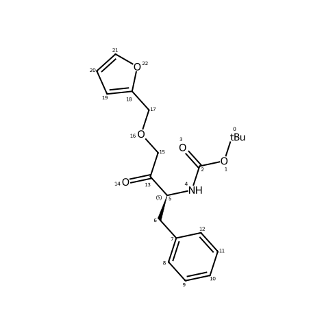 CC(C)(C)OC(=O)N[C@@H](Cc1ccccc1)C(=O)COCc1ccco1